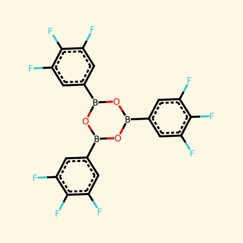 Fc1cc(B2OB(c3cc(F)c(F)c(F)c3)OB(c3cc(F)c(F)c(F)c3)O2)cc(F)c1F